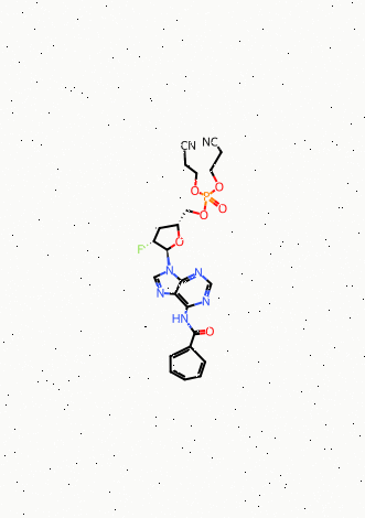 N#CCCOP(=O)(OCCC#N)OC[C@H]1[CH][C@@H](F)[C@H](n2cnc3c(NC(=O)c4ccccc4)ncnc32)O1